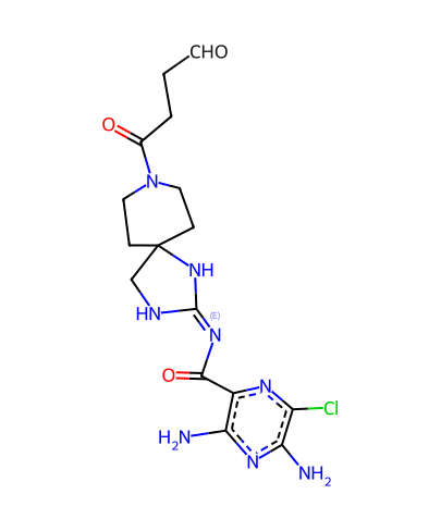 Nc1nc(N)c(C(=O)/N=C2\NCC3(CCN(C(=O)CCC=O)CC3)N2)nc1Cl